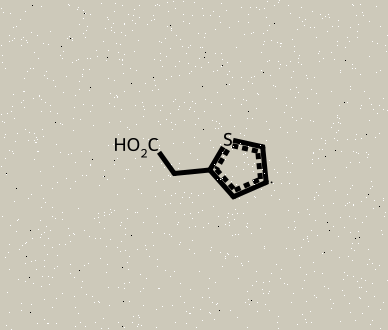 O=C(O)Cc1c[c]cs1